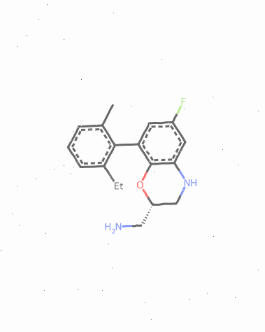 CCc1cccc(C)c1-c1cc(F)cc2c1O[C@@H](CN)CN2